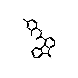 Cc1ccc(OC(=O)c2cccc3c2-c2ccccc2C3=O)c(C)c1